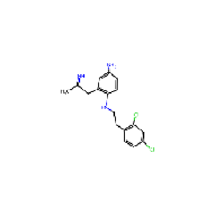 CC(=N)Cc1cc(N)ccc1NCCc1ccc(Cl)cc1Cl